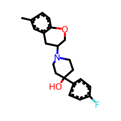 Cc1ccc2c(c1)CC(N1CCC(O)(c3ccc(F)cc3)CC1)CO2